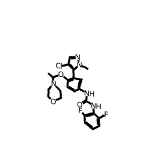 CC(Oc1ccc(NC(=O)Nc2c(F)cccc2F)cc1-c1c(Cl)cnn1C)N1CCOCC1